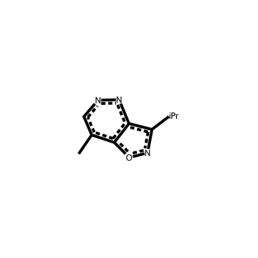 Cc1cnnc2c(C(C)C)noc12